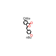 CCCCOc1ccc(C=C2OC(=O)c3cc(OC)ccc32)cc1